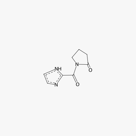 O=C1CCCN1C(=O)c1ncc[nH]1